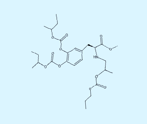 CCCOC(=O)OC(C)CN[C@@H](Cc1ccc(OC(=O)OC(C)CC)c(OC(=O)OC(C)CC)c1)C(=O)OC